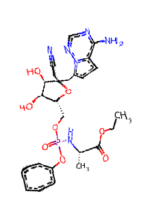 CCOC(=O)[C@H](C)N[P@](=O)(OC[C@H]1O[C@@](C#N)(c2ccc3c(N)ncnn23)[C@H](O)[C@@H]1O)Oc1ccccc1